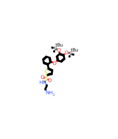 CC(C)(C)[Si](C)(C)Oc1ccc(Oc2ccccc2-c2ccc(S(=O)(=O)NCCN)s2)cc1O[Si](C)(C)C(C)(C)C